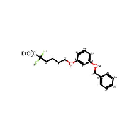 CCOC(=O)C(F)(F)CCCCOc1cccc(OCc2ccccc2)c1